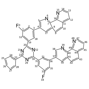 Fc1cc(-c2cnc3c(ccc4cccnc43)c2)cc(-c2nc(-c3ccccc3)nc(-c3cc(F)cc(-c4cnc5c(ccc6cccnc65)c4)c3)n2)c1